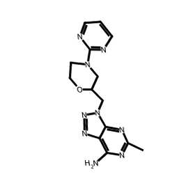 Cc1nc(N)c2nnn(CC3CN(c4ncccn4)CCO3)c2n1